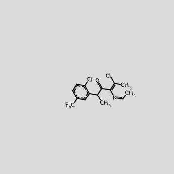 C/C=N\C(C(=O)C(C)c1cc(C(F)(F)F)ccc1Cl)=C(/C)Cl